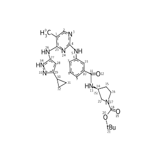 Cc1cnc(Nc2cccc(C(=O)N[C@H]3CCN(C(=O)OC(C)(C)C)C3)c2)nc1Nc1cc(C2CC2)n[nH]1